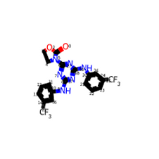 O=C1OCCN1c1nc(Nc2cccc(C(F)(F)F)c2)nc(Nc2cccc(C(F)(F)F)c2)n1